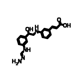 NN=CNc1cccc(C(O)CNc2cccc(C=CC(=O)O)c2)c1